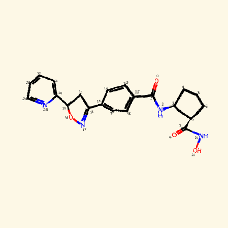 O=C(N[C@H]1CCC[C@H]1C(=O)NO)c1ccc(C2=NOC(c3ccccn3)C2)cc1